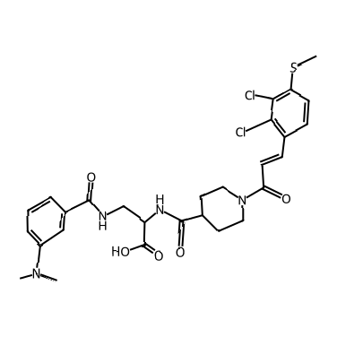 CSc1ccc(C=CC(=O)N2CCC(C(=O)NC(CNC(=O)c3cccc(N(C)C)c3)C(=O)O)CC2)c(Cl)c1Cl